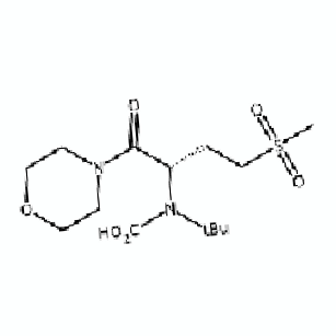 CC(C)(C)N(C(=O)O)[C@@H](CCS(C)(=O)=O)C(=O)N1CCOCC1